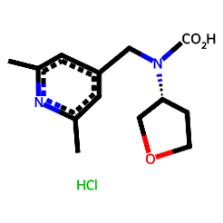 Cc1cc(CN(C(=O)O)[C@@H]2CCOC2)cc(C)n1.Cl